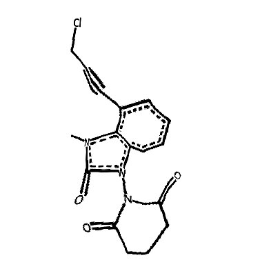 Cn1c(=O)n(N2C(=O)CCCC2=O)c2cccc(C#CCCl)c21